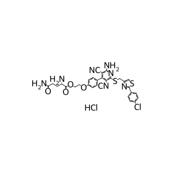 Cl.N#Cc1c(N)nc(SCc2csc(-c3ccc(Cl)cc3)n2)c(C#N)c1-c1ccc(OCCOC(=O)[C@@H](N)CCC(N)=O)cc1